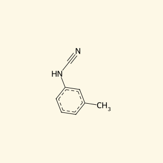 Cc1cccc(NC#N)c1